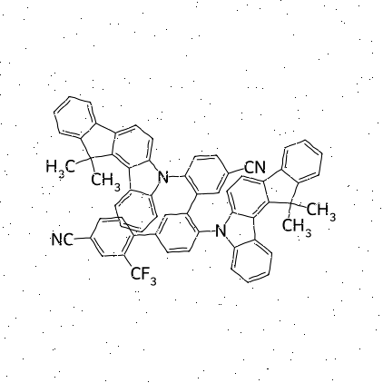 CC1(C)c2ccccc2-c2ccc3c(c21)c1ccccc1n3-c1ccc(C#N)cc1-c1cc(-c2ccc(C#N)cc2C(F)(F)F)ccc1-n1c2ccccc2c2c3c(ccc21)-c1ccccc1C3(C)C